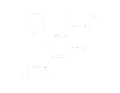 NNC(=O)c1ccc(C(=O)NN)c(F)c1.c1cc[nH]c1